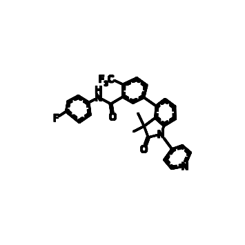 CC1(C)C(=O)N(c2ccncc2)c2cccc(-c3ccc(C(F)(F)F)c(C(=O)Nc4ccc(F)cc4)c3)c21